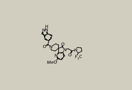 COc1ccc2c(n1)C1(CCN(C(=O)c3ccc4[nH]ncc4c3)CC1)C(=O)N2CC(=O)N1CCCC1C(F)(F)F